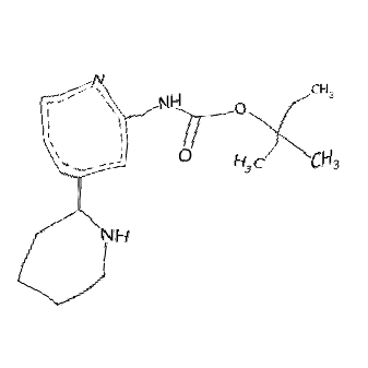 CC(C)(C)OC(=O)Nc1cc(C2CCCCN2)ccn1